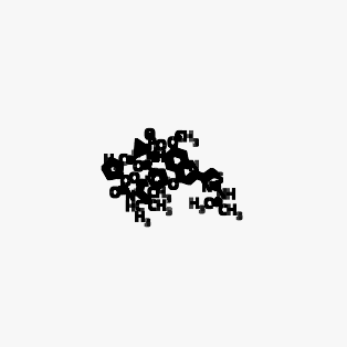 C=C[C@@H]1C[C@]1(NC(=O)[C@@H]1C[C@@H](Oc2cc(-c3csc(NC(C)C)n3)nc3cc(OC)ccc23)CN1C(=O)[C@@H](NC(=O)OC1CCCC1)C(C)(C)C)[PH](=O)O